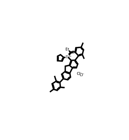 CC[C](CC)=[Ti+2]([C]1=CC=CC1)[c]1c(-c2c(C)cc(C)cc2C)ccc2c1Cc1cc(-c3c(C)cc(C)cc3C)ccc1-2.[Cl-].[Cl-]